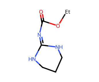 CCOC(=O)N=C1NCCCN1